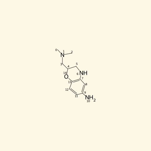 CN(C)CC1CNc2cc(N)ccc2O1